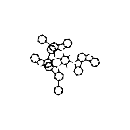 N#Cc1c(-n2c3ccccc3c3cc(-c4ccccc4)ccc32)c(-n2c3ccccc3c3c4c(ccc32)oc2ccccc24)c(-n2c3ccccc3c3cc(-c4ccccc4)ccc32)c(C#N)c1-n1c2ccccc2c2c3c(ccc21)oc1ccccc13